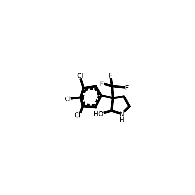 OC1NCCC1(c1cc(Cl)c(Cl)c(Cl)c1)C(F)(F)F